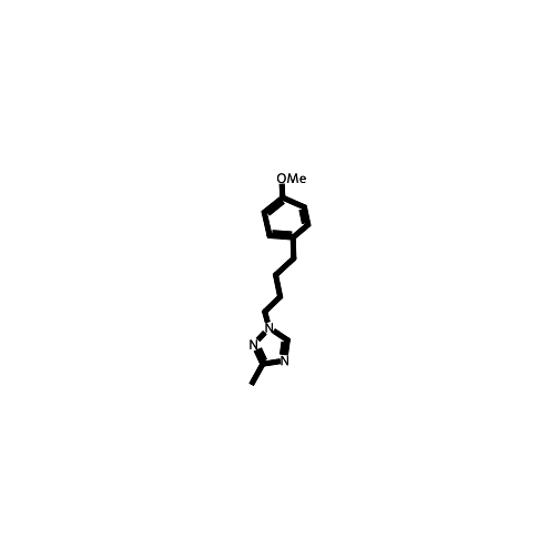 COc1ccc(CCCCn2cnc(C)n2)cc1